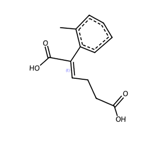 Cc1ccccc1/C(=C\CCC(=O)O)C(=O)O